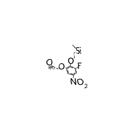 C[Si](C)(C)CCOc1c(F)cc([N+](=O)[O-])cc1OC[C@H]1CO1